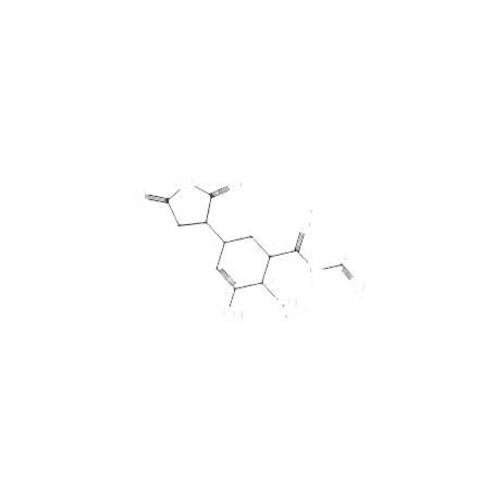 CC1=CC(C2CC(=O)OC2=O)CC(C(=O)OC=O)C1N